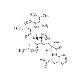 CC[C@H](C)[C@H](NC(=O)[C@@H](N)C(C)C)C(=O)N[C@@H](CC(C)C)C(=O)C(CCC(O)(O)C(=O)Nc1ccccc1CCC(=O)O)C(N)(O)O